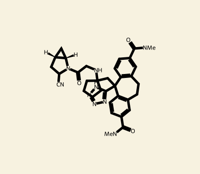 CNC(=O)c1ccc2c(c1)CCc1cc(C(=O)NC)ccc1C2(CC1(NCC(=O)N2C(C#N)C[C@@H]3C[C@@H]32)CCCC1)c1nnn[nH]1